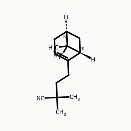 CC(C)(C#N)CCC1=CC[C@H]2C[C@H]1C2(C)C